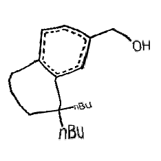 CCCCC1(CCCC)CCCc2ccc(CO)cc21